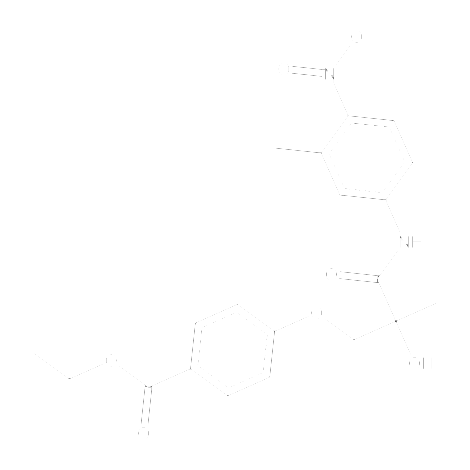 CCOC(=O)c1ccc(OCC(C)(O)C(=O)Nc2ccc([N+](=O)[O-])c(C)c2)cc1